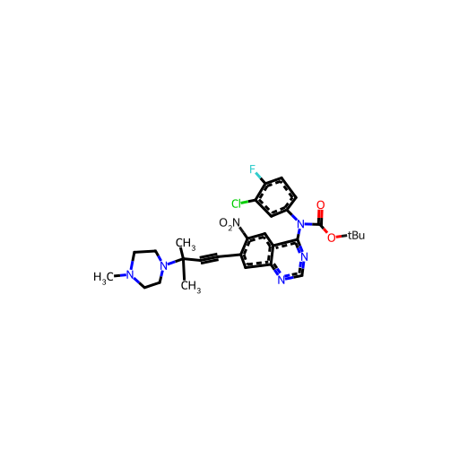 CN1CCN(C(C)(C)C#Cc2cc3ncnc(N(C(=O)OC(C)(C)C)c4ccc(F)c(Cl)c4)c3cc2[N+](=O)[O-])CC1